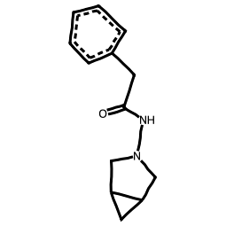 O=C(Cc1ccccc1)NN1CC2CC2C1